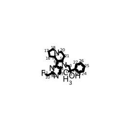 CC(O)(Cn1c2c(c3nc(CF)ncc31)C1CCCN1CC2)c1ccccc1